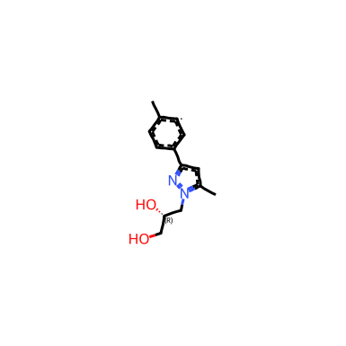 Cc1[c]cc(-c2cc(C)n(C[C@@H](O)CO)n2)cc1